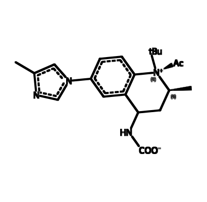 CC(=O)[N@+]1(C(C)(C)C)c2ccc(-n3cnc(C)c3)cc2C(NC(=O)[O-])C[C@@H]1C